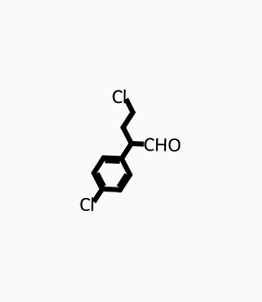 O=CC(CCCl)c1ccc(Cl)cc1